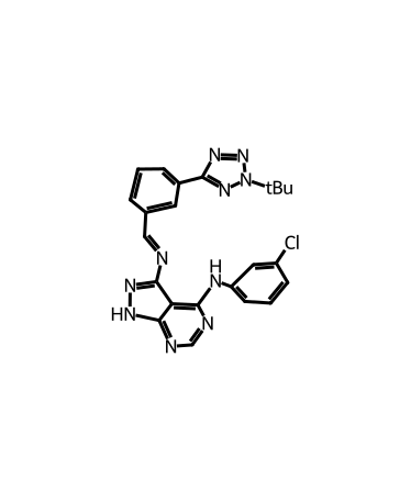 CC(C)(C)n1nnc(-c2cccc(C=Nc3n[nH]c4ncnc(Nc5cccc(Cl)c5)c34)c2)n1